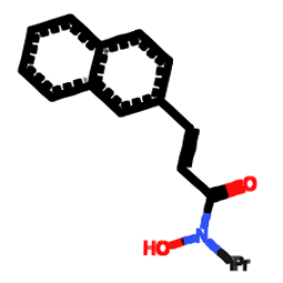 CC(C)N(O)C(=O)C=Cc1ccc2ccccc2c1